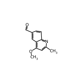 COc1cc(C)nc2ccc(C=O)cc12